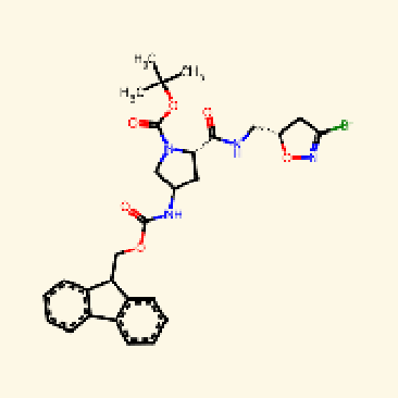 CC(C)(C)OC(=O)N1C[C@H](NC(=O)OCC2c3ccccc3-c3ccccc32)C[C@H]1C(=O)NC[C@@H]1CC(Br)=NO1